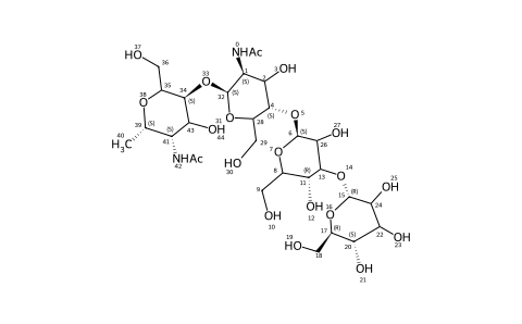 CC(=O)N[C@H]1C(O)[C@H](O[C@@H]2OC(CO)[C@@H](O)C(O[C@H]3O[C@H](CO)[C@@H](O)C(O)C3O)C2O)C(CO)O[C@H]1O[C@@H]1C(CO)O[C@@H](C)[C@@H](NC(C)=O)C1O